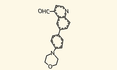 O=Cc1ccnc2ccc(-c3ccc(N4CCOCC4)cc3)cc12